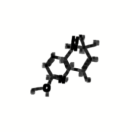 COc1ccc2c(n1)C(C)=CC(C)(C)N2